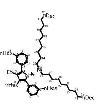 CCCCCCC1=C(c2cccc(CCCCCC)c2)[N+](=[N-])C(c2cccc(CCCCCC)c2)=C1CC.CCCCCCCCCCCCCCCCCC[CH2][Ni][CH2]CCCCCCCCCCCCCCCCCC